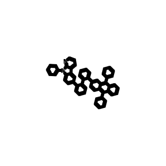 c1ccc(-c2c3ccccc3c(-c3ccccc3)c3cc(-c4ccccc4-c4ccccc4-c4ccc5c(c4)c4cccnc4n5-c4ccccc4)ccc23)cc1